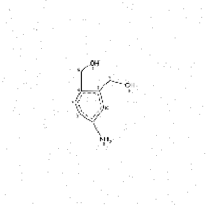 Nc1ccc(CO)c(CO)c1